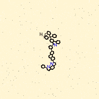 Cc1ccccc1C(c1ccccc1)(c1ccccc1)c1ccc2c(-c3cccc(-c4ccc5c(ccc6cc(-c7ccc8ccc9ccc(-c%10ccccc%10)nc9c8n7)ccc65)c4)c3)nc3ccccc3c2c1